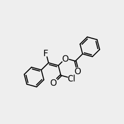 O=C(Cl)C(OC(=O)c1ccccc1)=C(F)c1ccccc1